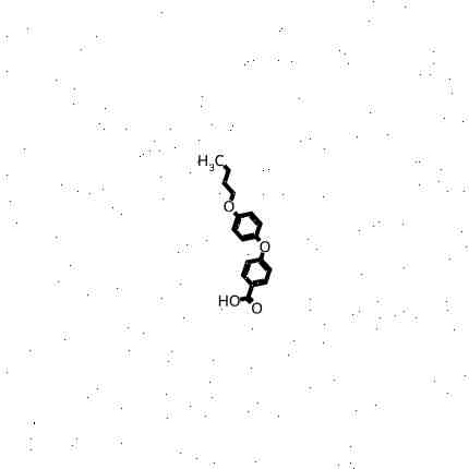 CCCCOc1ccc(Oc2ccc(C(=O)O)cc2)cc1